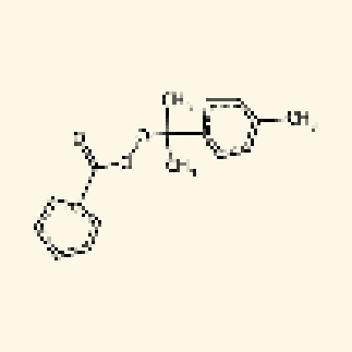 Cc1ccc(C(C)(C)OOC(=O)c2ccccc2)cc1